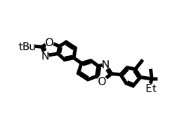 CCC(C)(C)c1ccc(-c2nc3cc(-c4ccc5oc(C(C)(C)C)nc5c4)ccc3o2)cc1C